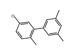 Cc1cc(C)cc(-c2cc(Cl)ccc2C)c1